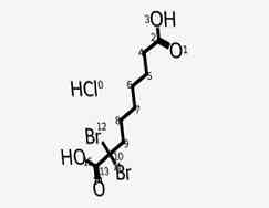 Cl.O=C(O)CCCCCCC(Br)(Br)C(=O)O